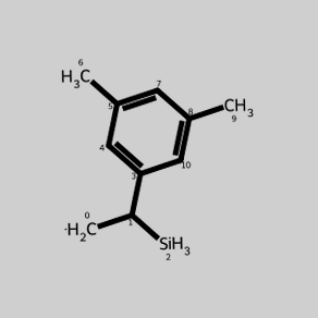 [CH2]C([SiH3])c1cc(C)cc(C)c1